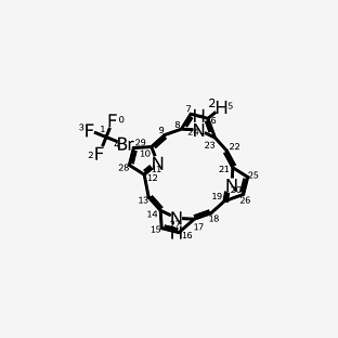 FC(F)(F)Br.[2H]c1cc2cc3nc(cc4ccc(cc5nc(cc1[nH]2)C=C5)[nH]4)C=C3